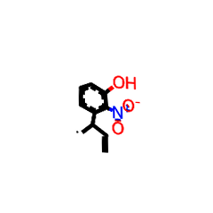 [CH2]C(C=C)c1cccc(O)c1[N+](=O)[O-]